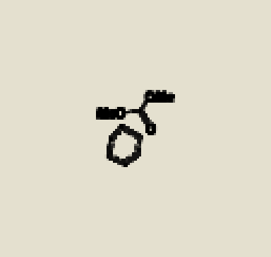 COC(=O)OC.c1ccccc1